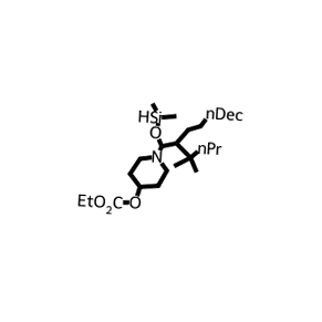 CCCCCCCCCCCCC(C(O[SiH](C)C)N1CCC(OC(=O)OCC)CC1)C(C)(C)CCC